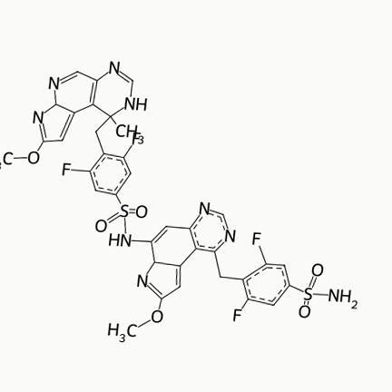 COC1=NC2N=CC3=C(C2=C1)C(C)(Cc1c(F)cc(S(=O)(=O)NC2=Cc4ncnc(Cc5c(F)cc(S(N)(=O)=O)cc5F)c4C4=CC(OC)=NC24)cc1F)NC=N3